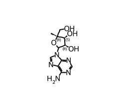 C[C@]1(CO)OC(n2cnc3c(N)ncnc32)[C@H](O)[C@@H]1O